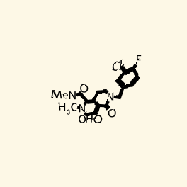 CNC(=O)c1c2c(c(O)c(=O)n1C)C(=O)N(Cc1ccc(F)c(Cl)c1)CC2